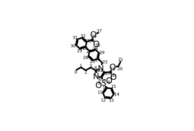 CCCCc1nc(S(=O)(=O)c2ccccc2)c(C(=O)OCC)n1Cc1ccc(-c2ccccc2C(=O)OC)cc1